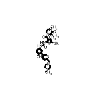 Cc1ccc(NC(=O)Nc2sc(C(C)(C)C)cc2C(=O)N2CCN(C)C(=O)C2(C)C)cc1-c1ccc(CN2CCN(C)CC2)nc1